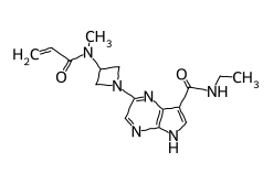 C=CC(=O)N(C)C1CN(c2cnc3[nH]cc(C(=O)NCC)c3n2)C1